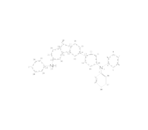 C1=CC(N(c2ccccc2)c2ccc(-c3ccc4sc5ccc(Nc6ccccc6)cc5c4c3)cc2)=CCC1